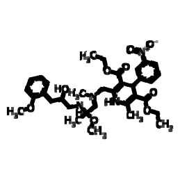 CCOC(=O)C1=C(C)NC(CN(C)CC(C)(NCC(O)Cc2ccccc2OC)OC)=C(C(=O)OCC)C1c1cccc([N+](=O)[O-])c1